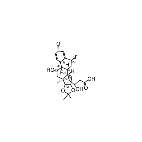 CC1(C)OC2C[C@H]3[C@@H]4C[C@H](F)C5=CC(=O)C=C[C@]5(C)[C@@]4(F)[C@@H](O)C[C@]3(C)[C@]2(C(=O)C(O)CC(=O)O)O1